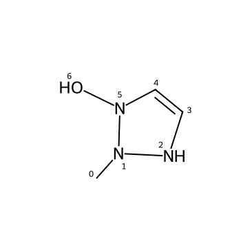 CN1NC=CN1O